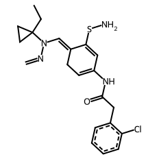 C=NN(/C=C1\CC=C(NC(=O)Cc2ccccc2Cl)C=C1SN)C1(CC)CC1